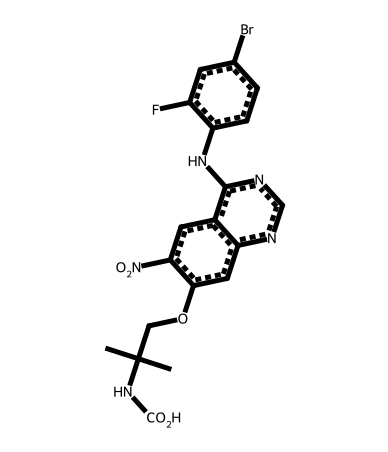 CC(C)(COc1cc2ncnc(Nc3ccc(Br)cc3F)c2cc1[N+](=O)[O-])NC(=O)O